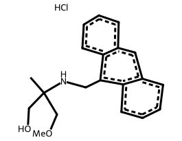 COCC(C)(CO)NCc1c2ccccc2cc2ccccc12.Cl